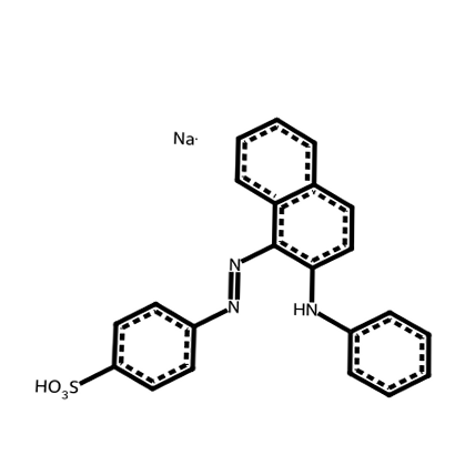 O=S(=O)(O)c1ccc(N=Nc2c(Nc3ccccc3)ccc3ccccc23)cc1.[Na]